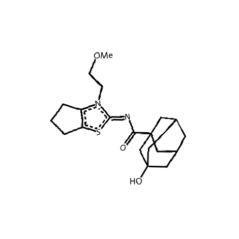 COCCn1c2c(s/c1=N\C(=O)C13CC4CC(CC(O)(C4)C1)C3)CCC2